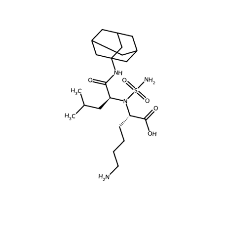 CC(C)C[C@@H](C(=O)NC12CC3CC(CC(C3)C1)C2)N([C@@H](CCCCN)C(=O)O)S(N)(=O)=O